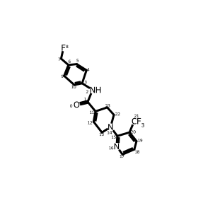 O=C(Nc1ccc(CF)cc1)C1=CCN(c2ncccc2C(F)(F)F)CC1